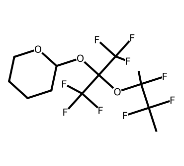 CC(F)(F)C(C)(F)OC(OC1CCCCO1)(C(F)(F)F)C(F)(F)F